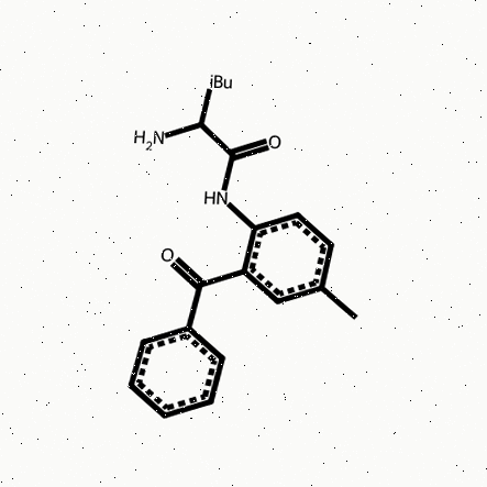 CCC(C)C(N)C(=O)Nc1ccc(C)cc1C(=O)c1ccccc1